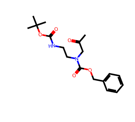 CC(=O)CN(CCNC(=O)OC(C)(C)C)C(=O)OCc1ccccc1